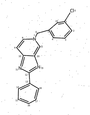 Clc1cccc(Cn2ccc3nc(-c4ccccc4)nc-3c2)c1